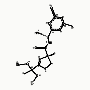 CCC[C@@H](NC(=O)[C@]1(C)CSC(C(C)(OCC)OCC)=N1)c1cc(C)cc(=O)o1